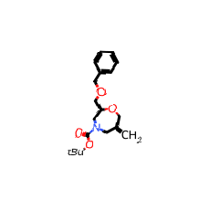 C=C1COC(COCc2ccccc2)CN(C(=O)OC(C)(C)C)C1